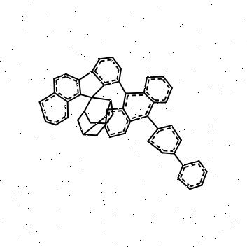 c1ccc(-c2ccc(-c3c4ccccc4c(-c4cccc5c4C4(c6c-5ccc5ccccc65)C5CC6CC(C5)CC4C6)c4ccccc34)cc2)cc1